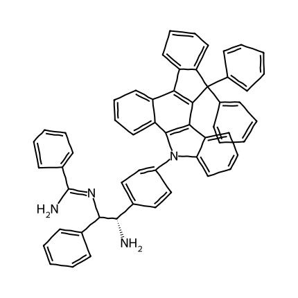 N/C(=N\C(c1ccccc1)[C@@H](N)c1ccc(-n2c3ccccc3c3c4c(c5ccccc5c32)-c2ccccc2C4(c2ccccc2)c2ccccc2)cc1)c1ccccc1